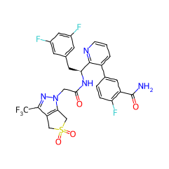 NC(=O)c1cc(-c2cccnc2[C@H](Cc2cc(F)cc(F)c2)NC(=O)Cn2nc(C(F)(F)F)c3c2CS(=O)(=O)C3)ccc1F